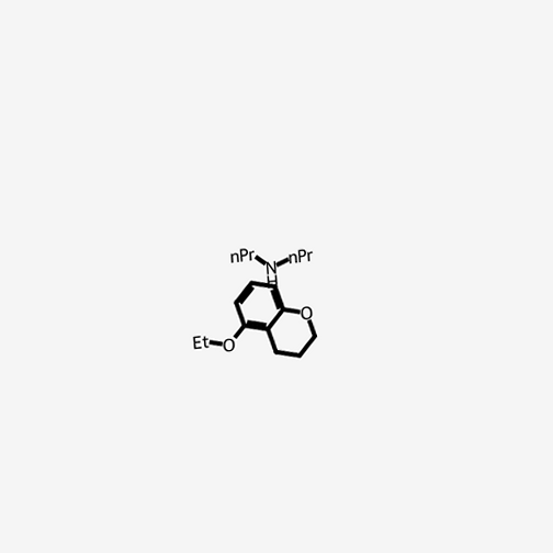 CCCNCCC.CCOc1cccc2c1CCCO2